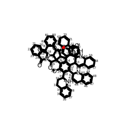 O=C1OC(C2(C3Cc4ccccc4OC3=O)[C](N3Cc4ccccc4C3=O)OOc3c(C4CCc5ccccc5N4)c(C4C=Cc5ccccc5N4)c(C4C=C5C=CC=CC5NC4=O)c(C4C=C5C=CC=CC5C(=O)N4)c32)Cc2ccccc21